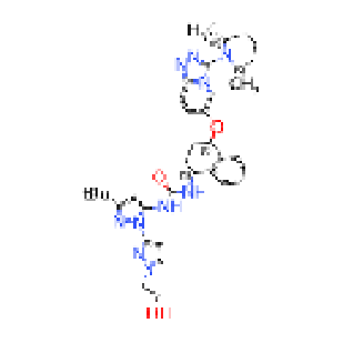 C[C@@H]1CCC[C@H](C)N1c1nnc2ccc(O[C@@H]3CC[C@H](NC(=O)Nc4cc(C(C)(C)C)nn4-c4ccn(CCO)n4)c4ccccc43)cn12